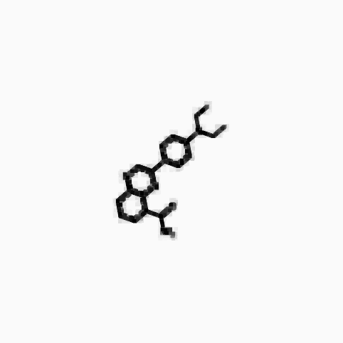 CCN(CC)c1ccc(-c2cnc3cccc(C(N)=O)c3n2)cc1